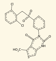 O=C(O)c1scc2[nH]c(=O)n(-c3cccc(S(=O)(=O)Cc4c(Cl)cccc4Cl)c3)c(=O)c12